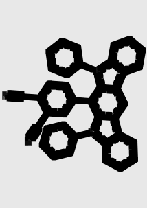 N#Cc1ccc(-c2c3c(cc4c5ccccc5n(-c5ccccc5)c24)c2ccccc2n3-c2ccccc2)cc1C#N